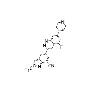 Cn1cc2cc(-c3cc4c(F)cc(C5=CCNCC5)cc4nn3)cc(C#N)c2n1